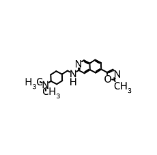 Cc1ncc(-c2ccc3cnc(NCC4CCC(N(C)C)CC4)cc3c2)o1